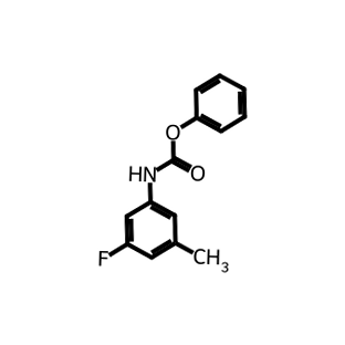 Cc1cc(F)cc(NC(=O)Oc2ccccc2)c1